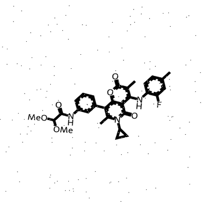 COC(OC)C(=O)Nc1cccc(-c2c(C)n(C3CC3)c(=O)c3c(Nc4ccc(C)cc4F)c(C)c(=O)oc23)c1